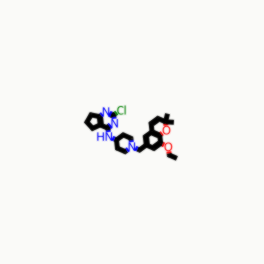 CCOc1cc(CN2CCC(Nc3nc(Cl)nc4c3CCC4)CC2)cc2c1OC(C)(C)C=C2